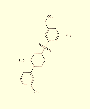 Cc1cccc(N2CCN(S(=O)(=O)c3cc(C)cc(CC(=O)O)c3)CC2C)c1